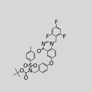 Cc1ccc(S(=O)(=O)N(Cc2ccc(Oc3ccc4c(c3)c(=O)ncn4Cc3c(F)cc(F)cc3F)cc2)C(=O)OC(C)(C)C)cc1